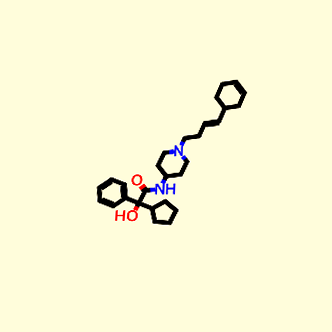 O=C(NC1CCN(CCC=CC2CC=CCC2)CC1)C(O)(c1ccccc1)C1CCCC1